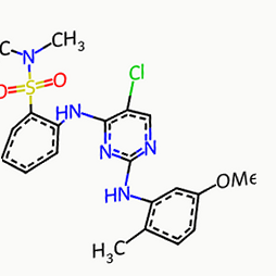 COc1ccc(C)c(Nc2ncc(Cl)c(Nc3ccccc3S(=O)(=O)N(C)C)n2)c1